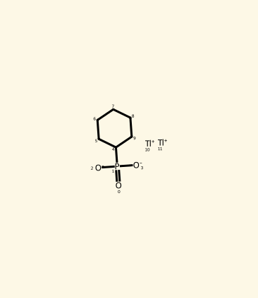 O=P([O-])([O-])C1CCCCC1.[Tl+].[Tl+]